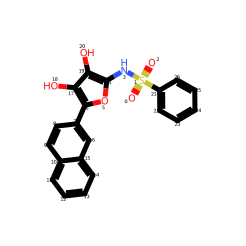 O=S(=O)(Nc1oc(-c2ccc3ccccc3c2)c(O)c1O)c1ccccc1